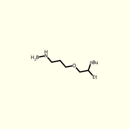 BNCCCOCC(CC)CCCC